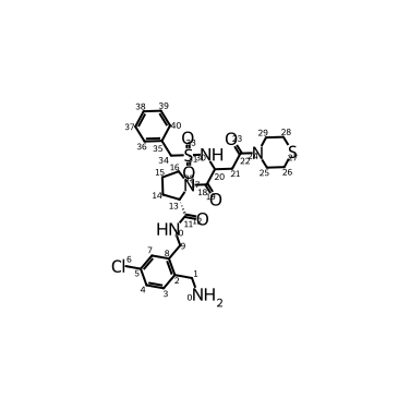 NCc1ccc(Cl)cc1CNC(=O)[C@@H]1CCCN1C(=O)C(CC(=O)N1CCSCC1)NS(=O)(=O)Cc1ccccc1